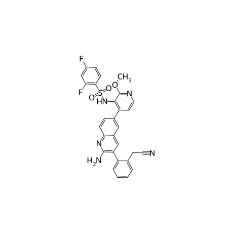 COc1nccc(-c2ccc3nc(N)c(-c4ccccc4CC#N)cc3c2)c1NS(=O)(=O)c1ccc(F)cc1F